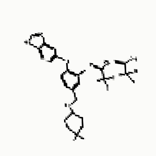 Cc1cc(CNC2CCC(C)(C)CC2)ccc1Oc1ccc2[nH]cnc2c1.O=C(O)C(F)(F)F.O=C(O)C(F)(F)F